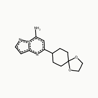 Nc1cc(C2CCC3(CC2)OCCO3)nc2ccnn12